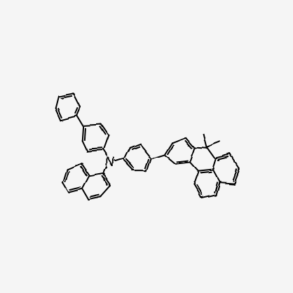 CC1(C)c2ccc(-c3ccc(N(c4ccc(-c5ccccc5)cc4)c4cccc5ccccc45)cc3)cc2-c2cccc3cccc1c23